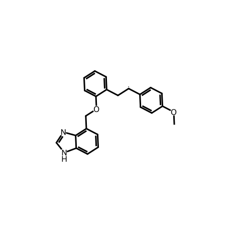 COc1ccc([CH]Cc2ccccc2OCc2cccc3[nH]cnc23)cc1